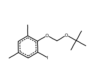 Cc1cc(C)c(OCOC(C)(C)C)c(I)c1